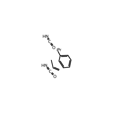 C=CC.CC(C)c1ccccc1.N=C=O.N=C=O